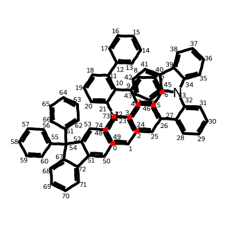 c1ccc(-c2ccccc2-c2c(-c3ccccc3)cccc2N(c2ccc(-c3ccccc3-n3c4ccccc4c4ccccc43)cc2)c2ccc3c(c2)C(c2ccccc2)(c2ccccc2)c2ccccc2-3)cc1